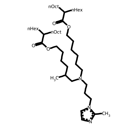 CCCCCCCCC(CCCCCC)C(=O)OCCCCCCN(CCCn1ccnc1C)CC(C)CCCCOC(=O)C(CCCCCC)CCCCCCCC